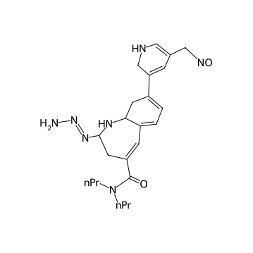 CCCN(CCC)C(=O)C1=CC2=CC=C(C3=CC(CN=O)=CNC3)CC2NC(N=NN)C1